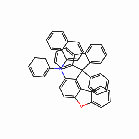 C1=CCCC(N(c2ccc3oc4ccccc4c3c2C2(c3ccccc3)c3ccccc3-c3ccccc32)c2cccc3ccccc23)=C1